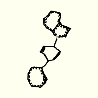 C1=CC(c2ccccc2)C=C[C]1n1ccc2ccccc21